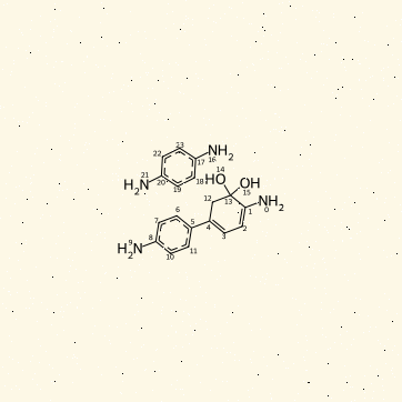 NC1=CC=C(c2ccc(N)cc2)CC1(O)O.Nc1ccc(N)cc1